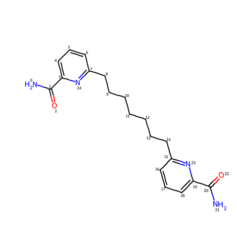 NC(=O)c1cccc(CCCCCCCc2cccc(C(N)=O)n2)n1